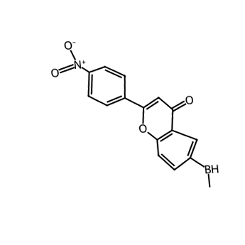 CBc1ccc2oc(-c3ccc([N+](=O)[O-])cc3)cc(=O)c2c1